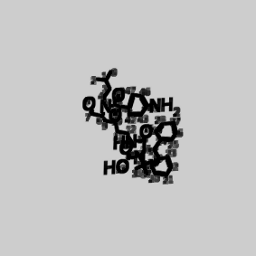 CC(C)CCN([C@H](C=O)CCCCNC(=O)[C@H](C(c1ccccc1)c1ccccc1)N(C(=O)O)C(C)(C)C)S(=O)(=O)c1ccc(N)cc1